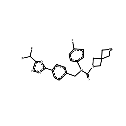 Fc1ccc(N(Cc2ccc(-c3nnc(C(F)F)o3)cc2)C(=S)N2CC3(CNC3)C2)cc1